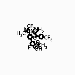 Cc1nc(C(F)(F)F)cn1-c1ccc(-c2cc(F)c(CO)c(S(C)(=O)=O)c2)cc1N(N)/C(=C\N)C(=O)c1ccc(C(F)(F)F)cc1